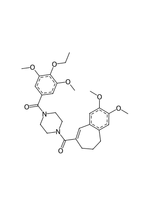 CCOc1c(OC)cc(C(=O)N2CCN(C(=O)C3=Cc4cc(OC)c(OC)cc4CCC3)CC2)cc1OC